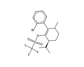 CC1CC[C@@H](C(C)C)C(OS(=O)(=O)C(F)(F)F)=C1c1ccccc1Br